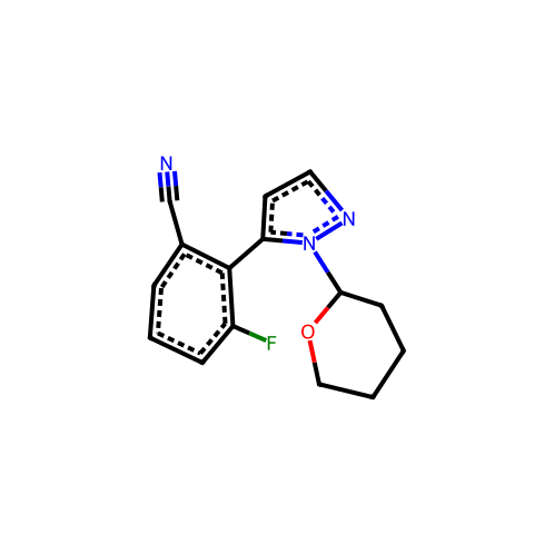 N#Cc1cccc(F)c1-c1ccnn1C1CCCCO1